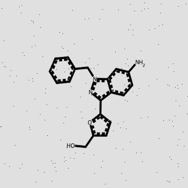 Nc1ccc2c(-c3ccc(CO)o3)nn(Cc3ccccc3)c2c1